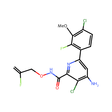 C=C(F)CONC(=O)c1nc(-c2ccc(Cl)c(OC)c2F)cc(N)c1Cl